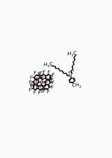 CCCCCCCCCC[NH+](CCCCCCCCCC)c1ccc(C)cc1.Fc1c(F)c(F)c2c([B-](c3c(F)c(F)c(F)c4c(F)c(F)c(F)c(F)c34)(c3c(F)c(F)c(F)c4c(F)c(F)c(F)c(F)c34)c3c(F)c(F)c(F)c4c(F)c(F)c(F)c(F)c34)c(F)c(F)c(F)c2c1F